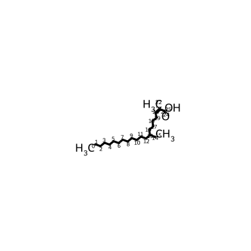 CCCCCCCCCCCCCC(CC)CCCCC=C(C)C(=O)O